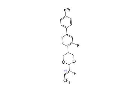 CCCc1ccc(-c2ccc(C3COC(/C(F)=C/C(F)(F)F)OC3)c(F)c2)cc1